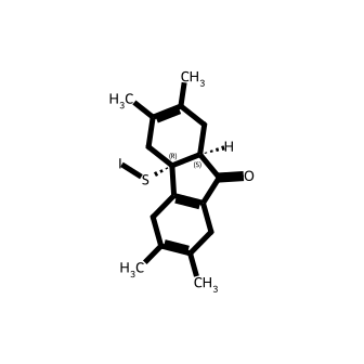 CC1=C(C)CC2=C(C1)C(=O)[C@@H]1CC(C)=C(C)C[C@]21SI